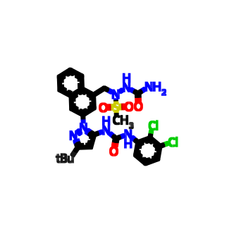 CC(C)(C)c1cc(NC(=O)Nc2cccc(Cl)c2Cl)n(-c2cc(CN(NC(N)=O)S(C)(=O)=O)c3ccccc3c2)n1